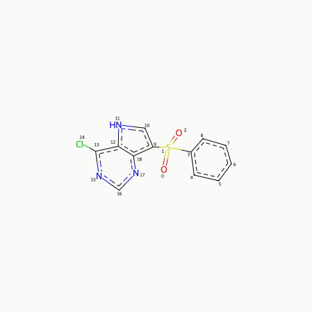 O=S(=O)(c1ccccc1)c1c[nH]c2c(Cl)ncnc12